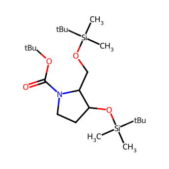 CC(C)(C)OC(=O)N1CCC(O[Si](C)(C)C(C)(C)C)C1CO[Si](C)(C)C(C)(C)C